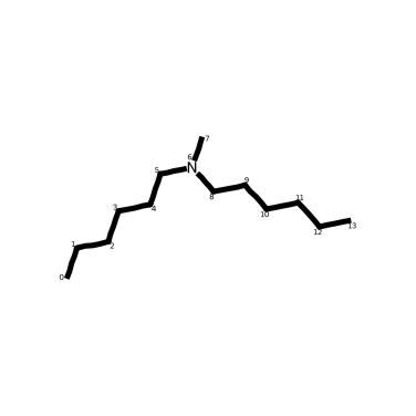 CCCCCCN(C)CCCCCC